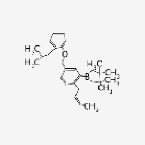 C/C=C\Cc1ccc(COc2ccccc2CC(C)C)cc1B1CC(C)(C)C(C)(C)C1